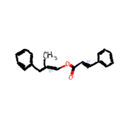 C/C(=C\OC(=O)/C=C/c1ccccc1)Cc1ccccc1